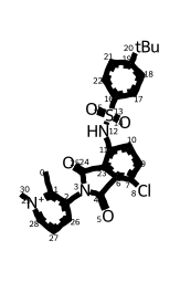 Cc1c(N2C(=O)c3c(Cl)ccc(NS(=O)(=O)c4ccc(C(C)(C)C)cc4)c3C2=O)ccc[n+]1C